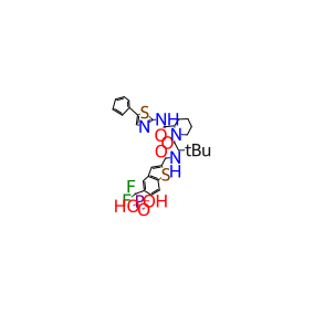 CC(C)(C)C(NC(=O)c1cc2cc(C(F)(F)P(=O)(O)O)ccc2s1)C(=O)N1CCCCC1C(=O)Nc1ncc(-c2ccccc2)s1